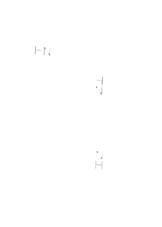 C/C=C(/C)c1ccc(NC)c(NC)c1NC